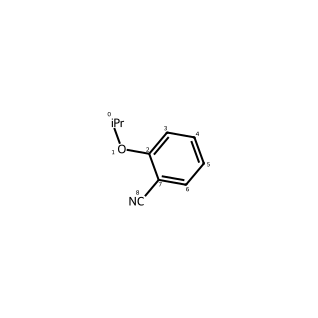 CC(C)Oc1ccccc1C#N